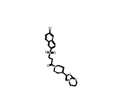 O=C(CCS(=O)(=O)c1ccc2cc(Cl)ccc2c1)N1CCC(C2=CN3CCCN=C3S2)CC1